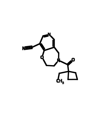 CCC1(C(=O)N2CCOc3c(C#N)cncc3C2)CCC1